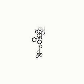 O=C1CC(c2ccccc2)(c2ccc(OCCO[N+](=O)[O-])cc2)N=C2C=CC=C(O)N12